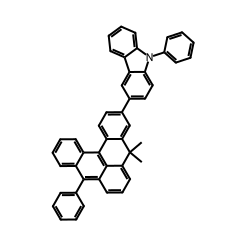 CC1(C)c2cc(-c3ccc4c(c3)c3ccccc3n4-c3ccccc3)ccc2-c2c3ccccc3c(-c3ccccc3)c3cccc1c23